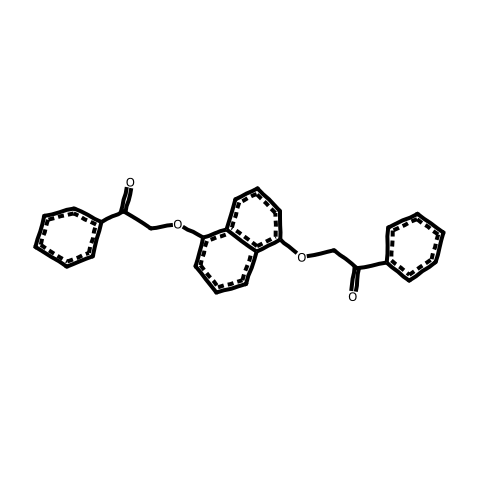 O=C(COc1cccc2c(OCC(=O)c3ccccc3)cccc12)c1ccccc1